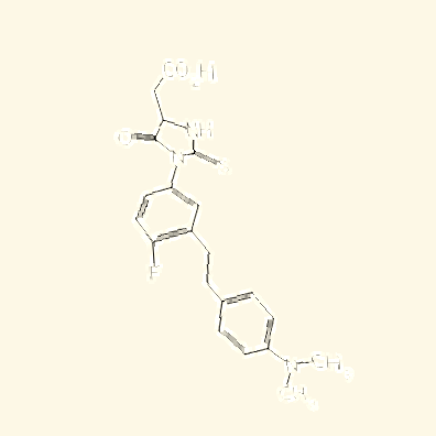 CN(C)c1ccc(CCc2cc(N3C(=O)C(CC(=O)O)NC3=S)ccc2F)cc1